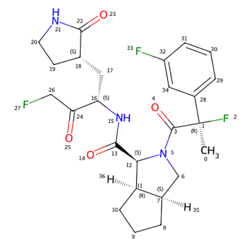 C[C@](F)(C(=O)N1C[C@H]2CCC[C@H]2[C@H]1C(=O)N[C@@H](C[C@@H]1CCNC1=O)C(=O)CF)c1cccc(F)c1